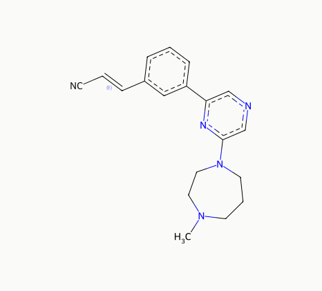 CN1CCCN(c2cncc(-c3cccc(/C=C/C#N)c3)n2)CC1